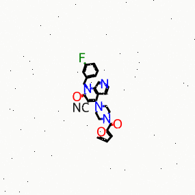 N#Cc1c(N2CCN(C(=O)c3ccco3)CC2)c2ccncc2n(Cc2cccc(F)c2)c1=O